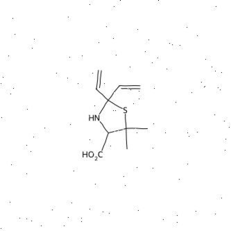 C=CC1(C=C)NC(C(=O)O)C(C)(C)S1